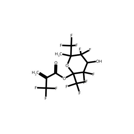 C=C(C(=O)OC1(C(F)(F)F)OC(C)(C(F)(F)F)C(F)(F)C(O)C1(F)F)C(F)(F)F